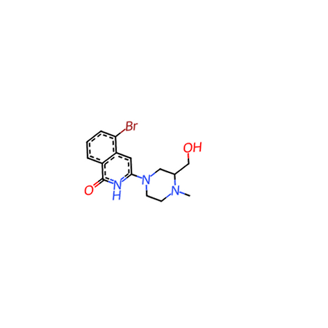 CN1CCN(c2cc3c(Br)cccc3c(=O)[nH]2)CC1CO